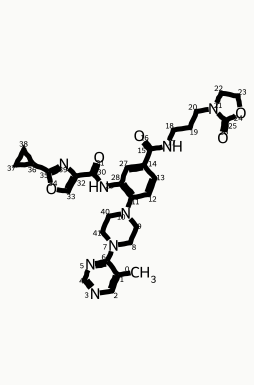 Cc1cncnc1N1CCN(c2ccc(C(=O)NCCCN3CCOC3=O)cc2NC(=O)c2coc(C3CC3)n2)CC1